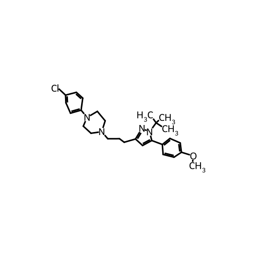 COc1ccc(-c2cc(CCCN3CCN(c4ccc(Cl)cc4)CC3)nn2C(C)(C)C)cc1